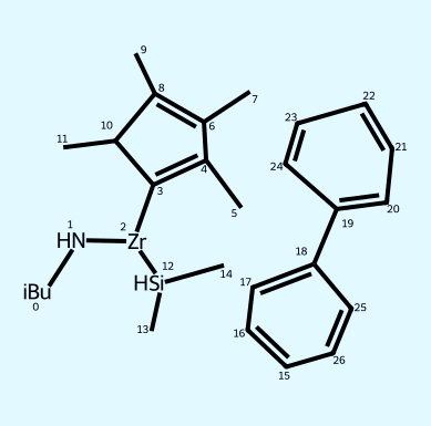 CCC(C)[NH][Zr]([C]1=C(C)C(C)=C(C)C1C)[SiH](C)C.c1ccc(-c2ccccc2)cc1